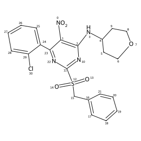 O=[N+]([O-])c1c(NC2CCOCC2)nc(S(=O)(=O)Cc2ccccc2)nc1-c1ccccc1Cl